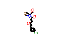 O=C[C@@H]1CSCN1C(=O)CCC(=O)CCc1ccc(Cl)cc1